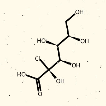 O=C(O)[C@](O)(Cl)[C@H](O)[C@@H](O)[C@H](O)CO